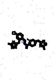 C=C(/C=C/c1ccc(Cl)cc1Cn1nnc(C)n1)N1CCN(Cc2noc(C)n2)C[C@H]1C